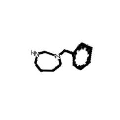 c1ccc(CN2CCCCNC2)cc1